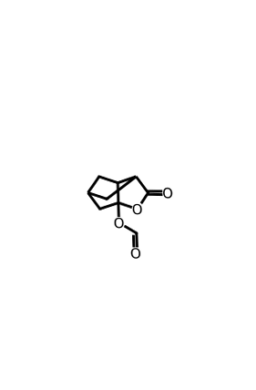 O=COC12CC3CC(C(=O)O1)C2C3